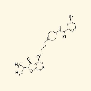 CC(C)=C1Oc2cccc(OCCCCN3CCC(NC(=O)c4cccc(Br)c4)CC3)c2C1=O